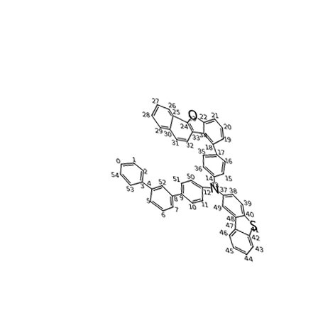 c1ccc(-c2cccc(-c3ccc(N(c4ccc(-c5cccc6oc7c8ccccc8ccc7c56)cc4)c4ccc5sc6ccccc6c5c4)cc3)c2)cc1